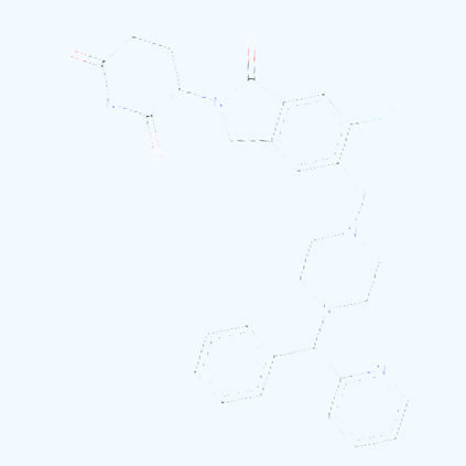 O=C1CCC(N2Cc3cc(CN4CCN(C(c5ccccc5)c5ccccn5)CC4)c(F)cc3C2=O)C(=O)N1